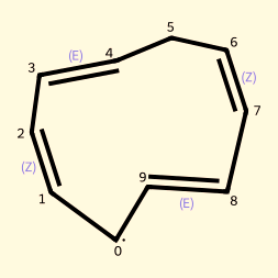 [CH]1/C=C\C=C\C/C=C\C=C\1